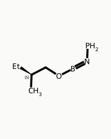 CC[C@H](C)COB=NP